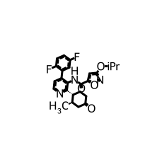 CC(C)Oc1cc(C(=O)Nc2c(-c3cc(F)ccc3F)ccnc2[C@@H]2CCC(=O)C[C@H]2C)on1